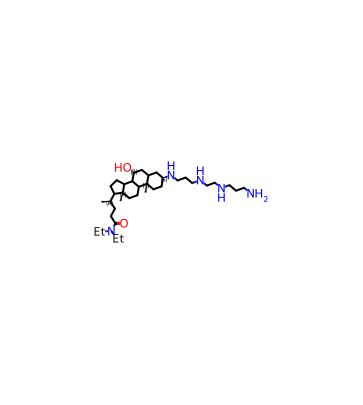 CCN(CC)C(=O)CC[C@@H](C)C1CCC2C3C(CC[C@@]21C)[C@@]1(C)CC[C@H](NCCCNCCNCCCN)CC1C[C@H]3O